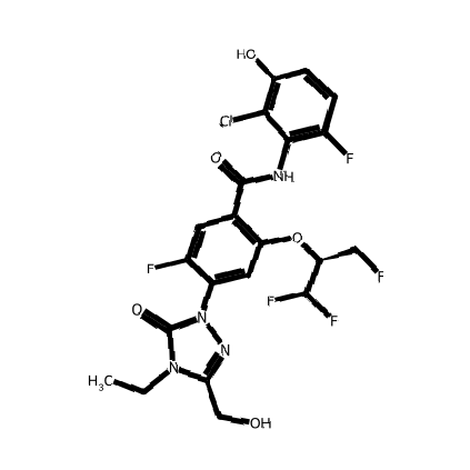 CCn1c(CO)nn(-c2cc(O[C@@H](CF)C(F)F)c(C(=O)Nc3c(F)ccc(O)c3Cl)cc2F)c1=O